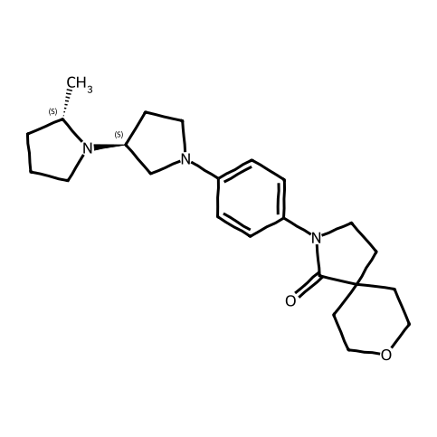 C[C@H]1CCCN1[C@H]1CCN(c2ccc(N3CCC4(CCOCC4)C3=O)cc2)C1